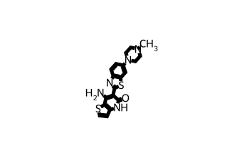 CN1CCN(c2ccc3nc(-c4c(N)c5sccc5[nH]c4=O)sc3c2)CC1